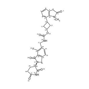 CN1C(=O)Cc2cccc(C3CC(OC(=O)NCc4ccc5c(c4F)C(=O)N([C@@H]4CCC(=O)NC4=O)C5)C3)c21